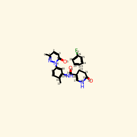 Cc1ccc(=O)n(-c2ccc(C)c(NC(=O)C3=CNC(=O)C[C@H]3c3ccc(F)cc3)c2)n1